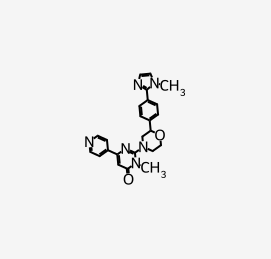 Cn1ccnc1-c1ccc(C2CN(c3nc(-c4ccncc4)cc(=O)n3C)CCO2)cc1